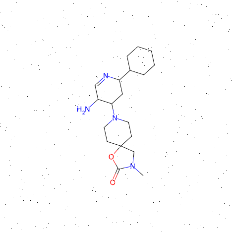 CN1CC2(CCN(C3CC(C4CCCCC4)N=CC3N)CC2)OC1=O